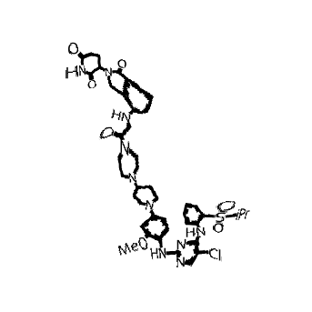 COc1cc(N2CCC(N3CCN(C(=O)CNc4cccc5c4CN(C4CCC(=O)NC4=O)C5=O)CC3)CC2)ccc1Nc1ncc(Cl)c(Nc2ccccc2S(=O)(=O)C(C)C)n1